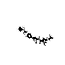 C[C@@H]1C[C@H](c2cc(NC(=O)c3cc(OCC(F)F)nn3C)[nH]n2)C[C@@H]1OC(=O)NC12CC(C1)C2